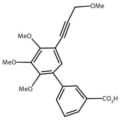 COCC#Cc1cc(-c2cccc(C(=O)O)c2)c(OC)c(OC)c1OC